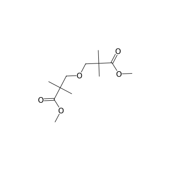 COC(=O)C(C)(C)COCC(C)(C)C(=O)OC